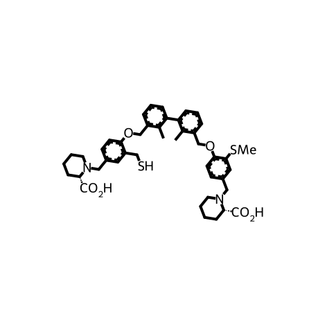 CSc1cc(CN2CCCC[C@H]2C(=O)O)ccc1OCc1cccc(-c2cccc(COc3ccc(CN4CCCC[C@H]4C(=O)O)cc3CS)c2C)c1C